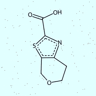 O=C(O)c1nc2c(s1)COCC2